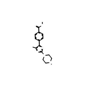 COC(=O)c1ccc(-c2nc(N3CCN(C)CC3)sc2F)cc1